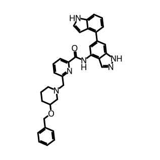 O=C(Nc1cc(-c2cccc3[nH]ccc23)cc2[nH]ncc12)c1cccc(CN2CCCC(OCc3ccccc3)C2)n1